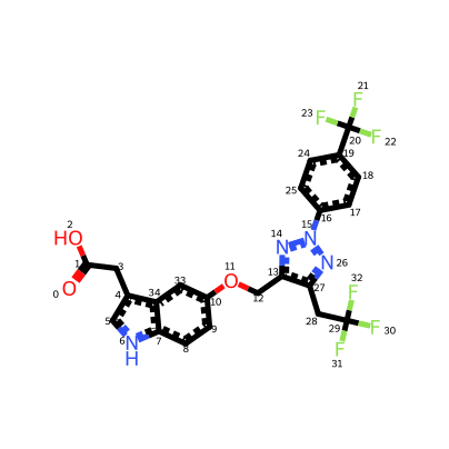 O=C(O)Cc1c[nH]c2ccc(OCc3nn(-c4ccc(C(F)(F)F)cc4)nc3CC(F)(F)F)cc12